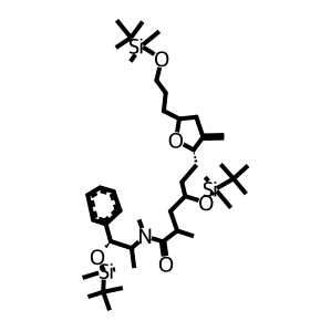 C=C1CC(CCCO[Si](C)(C)C(C)(C)C)O[C@H]1CCC(CC(C)C(=O)N(C)C(C)[C@H](O[Si](C)(C)C(C)(C)C)c1ccccc1)O[Si](C)(C)C(C)(C)C